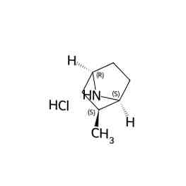 C[C@H]1C[C@H]2CC[C@@H]1N2.Cl